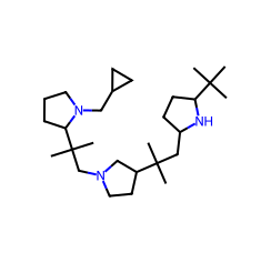 CC(C)(C)C1CCC(CC(C)(C)C2CCN(CC(C)(C)C3CCCN3CC3CC3)C2)N1